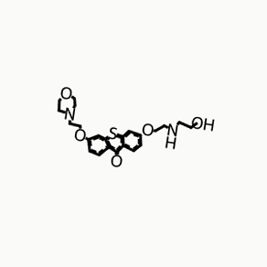 O=c1c2ccc(OCCNCCO)cc2sc2cc(OCCN3CCOCC3)ccc12